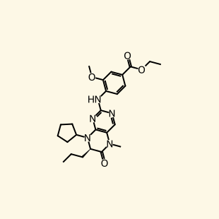 CCC[C@@H]1C(=O)N(C)c2cnc(Nc3ccc(C(=O)OCC)cc3OC)nc2N1C1CCCC1